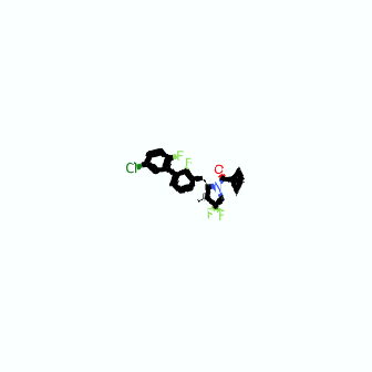 C[C@@H]1[C@H](Cc2cccc(-c3cc(Cl)ccc3F)c2F)N(C(=O)C23CC2C3)CC1(F)F